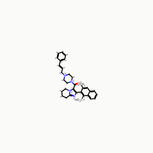 Cc1cc2ccccc2c(C(=O)O)c1-c1nc2n(c1C(=O)N1CCN(CC=Cc3ccccc3)CC1)CCCC2